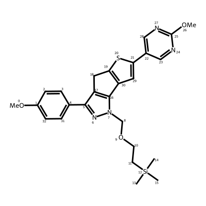 COc1ccc(-c2nn(COCC[Si](C)(C)C)c3c2Cc2sc(-c4cnc(OC)nc4)cc2-3)cc1